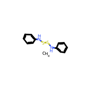 C.c1ccc(NSSNc2ccccc2)cc1